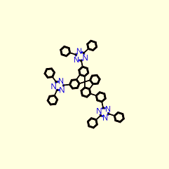 c1ccc(-c2nc(-c3ccccc3)nc(-c3cccc(-c4cccc5c4-c4ccccc4C54c5ccc(-c6nc(-c7ccccc7)nc(-c7ccccc7)n6)cc5-c5cc(-c6nc(-c7ccccc7)nc(-c7ccccc7)n6)ccc54)c3)n2)cc1